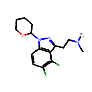 CCN(C)CCc1nn(C2CCCCO2)c2ccc(F)c(F)c12